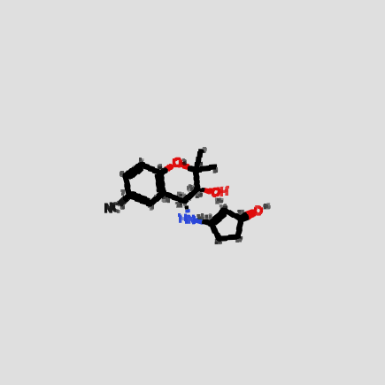 CC1(C)Oc2ccc(C#N)cc2[C@@H](NC2=CC(=O)CC2)[C@@H]1O